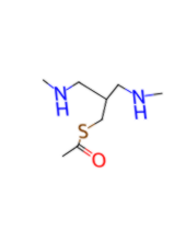 CNCC(CNC)CSC(C)=O